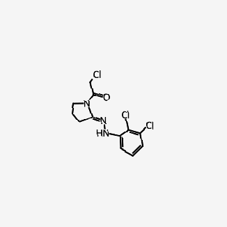 O=C(CCl)N1CCCC1=NNc1cccc(Cl)c1Cl